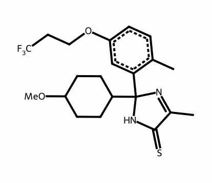 COC1CCC(C2(c3cc(OCCC(F)(F)F)ccc3C)N=C(C)C(=S)N2)CC1